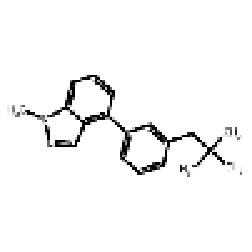 Cn1ncc2c(-c3cccc(CC(C)(C)C)c3)cccc21